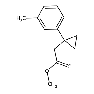 COC(=O)CC1(c2cccc(C)c2)CC1